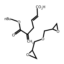 C(OCC1CO1)C1CO1.C=C(CC=CC(=O)O)C(=O)OCCCC